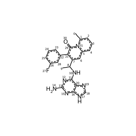 Cc1cccc2cc(C(C)Nc3nc(N)nc4[nH]cnc34)c(-c3cccc(F)c3)c(=O)n12